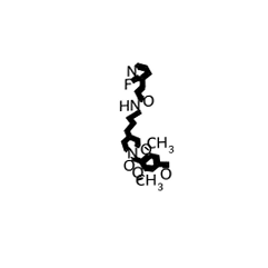 COc1cc(C=O)cc(OC)c1C(=O)N1CCC(CCCCNC(=O)/C=C/c2cccnc2F)CC1